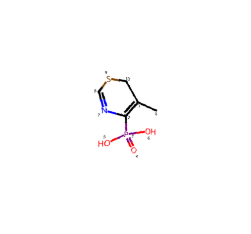 CC1=C(P(=O)(O)O)N=CSC1